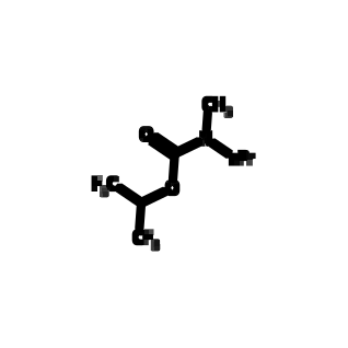 CCCN(C)C(=O)OC(C(F)(F)F)C(F)(F)F